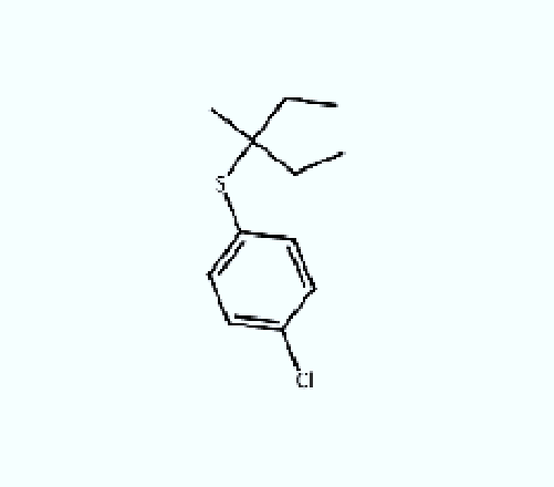 CCC(C)(CC)Sc1ccc(Cl)cc1